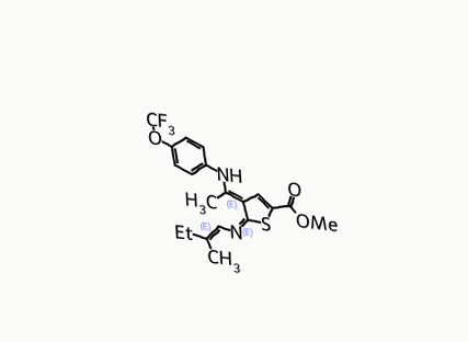 CC/C(C)=C/N=C1/SC(C(=O)OC)=C/C1=C(/C)Nc1ccc(OC(F)(F)F)cc1